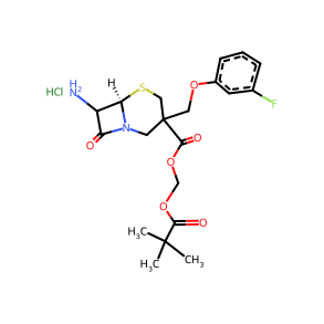 CC(C)(C)C(=O)OCOC(=O)C1(COc2cccc(F)c2)CS[C@@H]2C(N)C(=O)N2C1.Cl